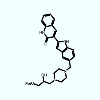 COCC(O)CN1CCN(Cc2ccc3[nH]c(-c4cc5ccccc5[nH]c4=O)cc3c2)CC1